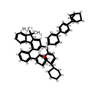 CC1(C)c2ccccc2-c2c(-c3ccccc3-c3ccccc3)cc(N(c3ccc(-c4ccc(C5CC6CCC5C6)cc4)cc3)c3ccc(C4CCCCC4)cc3)cc21